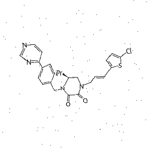 CC(C)[C@H]1CN(CC=Cc2ccc(Cl)s2)C(=O)C(=O)N1Cc1ccc(-c2ccncn2)cc1